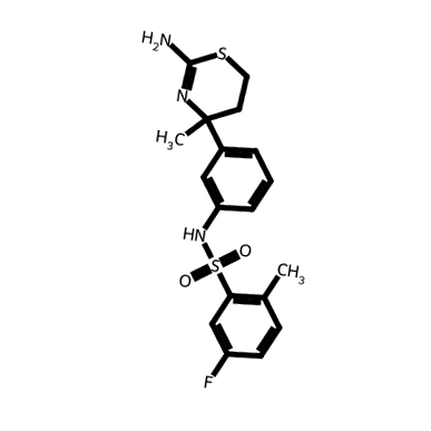 Cc1ccc(F)cc1S(=O)(=O)Nc1cccc(C2(C)CCSC(N)=N2)c1